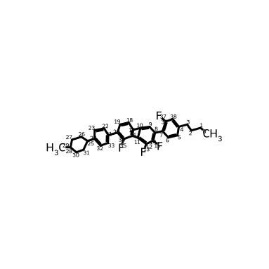 CCCCc1ccc(-c2cc3c(c(F)c2F)-c2c-3ccc(-c3ccc(C4CCC(C)CC4)cc3)c2F)c(F)c1